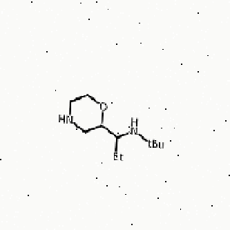 CCC(NC(C)(C)C)C1CNCCO1